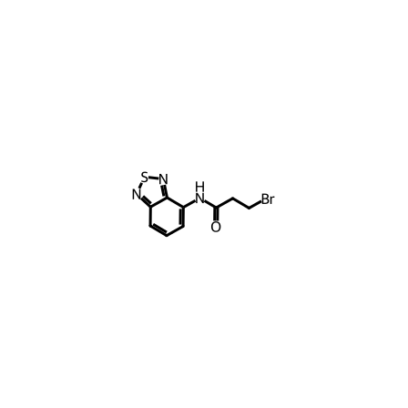 O=C(CCBr)Nc1cccc2nsnc12